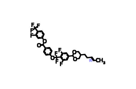 C/C=C/CCC1COC(c2cc(F)c(C(F)(F)Oc3ccc(C(=O)Oc4ccc(C(F)(F)F)c(F)c4)cc3)c(F)c2)OC1